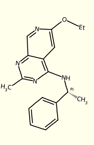 CCOc1cc2c(N[C@H](C)c3ccccc3)nc(C)nc2cn1